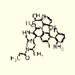 C=CC(=O)N1CC2CNc3c(c4cc(F)c(-c5c(N)cccc5F)c(F)c4n(-c4c(C)ccnc4C(C)C)c3=O)N2CC1C